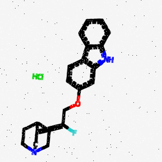 Cl.FC(COc1ccc2c(c1)[nH]c1ccccc12)=C1CN2CCC1CC2